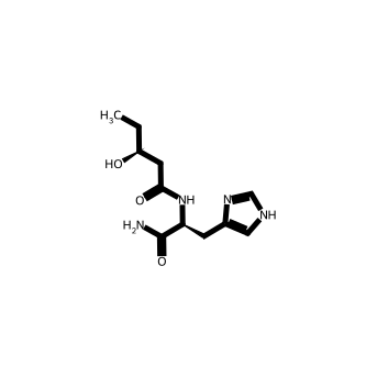 CC[C@H](O)CC(=O)N[C@@H](Cc1c[nH]cn1)C(N)=O